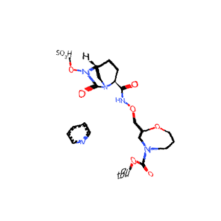 CC(C)(C)OC(=O)N1CCCOC(CONC(=O)[C@@H]2CC[C@@H]3CN2C(=O)N3OS(=O)(=O)O)C1.c1ccncc1